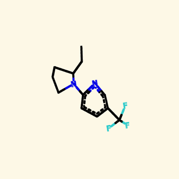 CCC1CCCN1c1ccc(C(F)(F)F)cn1